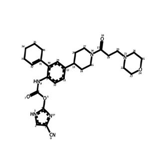 N#Cc1c[nH]c(OC(=O)Nc2ccc(C3CCN(C(=O)CCN4CCOCC4)CC3)cc2C2=CCCCC2)n1